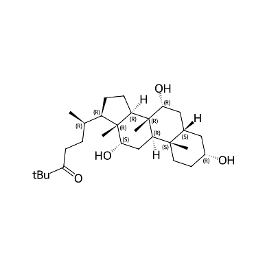 C[C@H](CCC(=O)C(C)(C)C)[C@H]1CC[C@@H]2[C@]1(C)[C@@H](O)C[C@@H]1[C@@]3(C)CC[C@@H](O)C[C@H]3C[C@@H](O)[C@@]21C